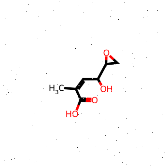 CC(=CC(O)C1CO1)C(=O)O